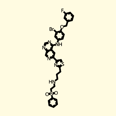 O=S(=O)(CCNCCCc1nc(-c2cc3c(Nc4ccc(OCc5cccc(F)c5)c(Br)c4)ncnc3cn2)cs1)c1ccccc1